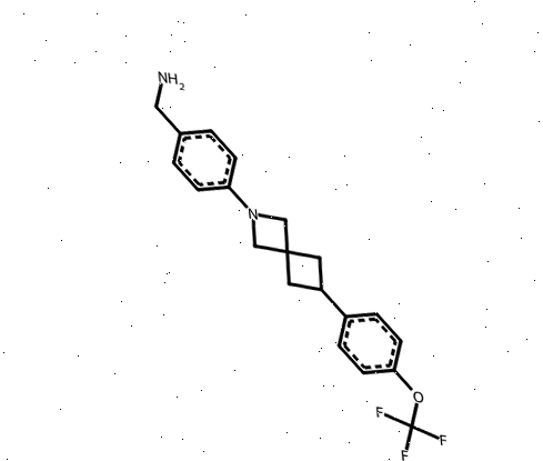 NCc1ccc(N2CC3(CC(c4ccc(OC(F)(F)F)cc4)C3)C2)cc1